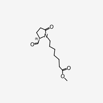 COC(=O)CCCCCCN1C(=O)CC[C@@H]1C=O